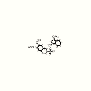 CCOc1cc2c(cc1OC)CCN(S(=O)(=O)CC)[C@H]2CCc1cn(OC)c2ccccc12